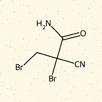 N#CC(Br)(CBr)C(N)=O